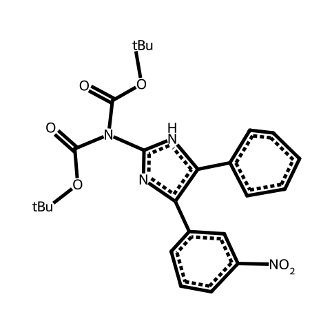 CC(C)(C)OC(=O)N(C(=O)OC(C)(C)C)c1nc(-c2cccc([N+](=O)[O-])c2)c(-c2ccccc2)[nH]1